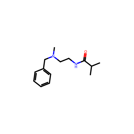 CC(C)C(=O)NCCN(C)Cc1ccccc1